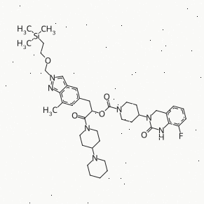 Cc1cc(CC(OC(=O)N2CCC(N3Cc4cccc(F)c4NC3=O)CC2)C(=O)N2CCC(N3CCCCC3)CC2)cc2cn(COCC[Si](C)(C)C)nc12